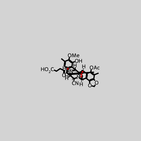 COc1c(C)cc2c(c1O)[C@H]1N[C@@H](C2)[C@H](C#N)N2C1[C@@H]1SC[C@H](NC(=O)CCC(=O)O)C(=O)OC[C@H]2c2c3c(c(C)c(OC(C)=O)c21)OCO3